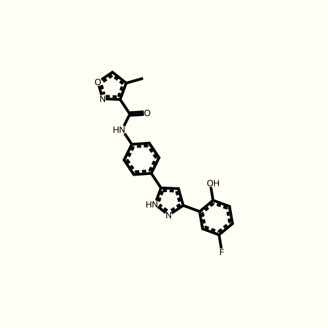 Cc1conc1C(=O)Nc1ccc(-c2cc(-c3cc(F)ccc3O)n[nH]2)cc1